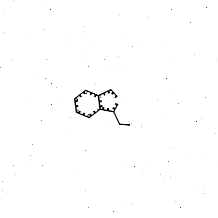 [NH]Cc1scc2ccccc12